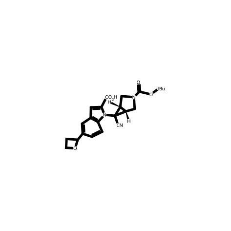 CC(C)(C)OC(=O)N1C[C@@H]2[C@H](C1)C2(C#N)n1c(C(=O)O)cc2cc(C3CCO3)ccc21